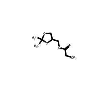 CCC(=O)OCC1COC(C)(C)O1